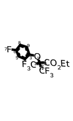 CCOC(=O)C(Oc1ccc(F)cc1)(C(F)(F)F)C(F)(F)F